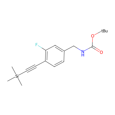 CC(C)(C)OC(=O)NCc1ccc(C#C[Si](C)(C)C)c(F)c1